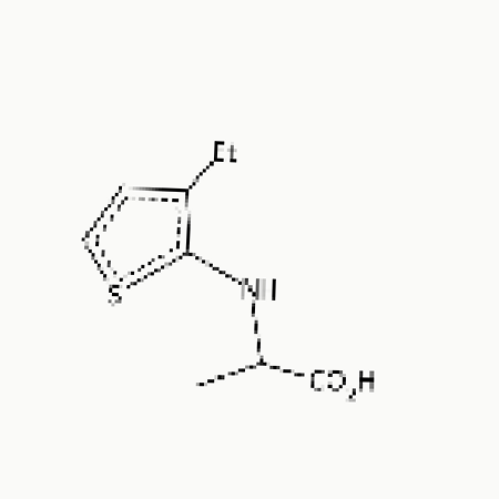 CCc1ccsc1NC(C)C(=O)O